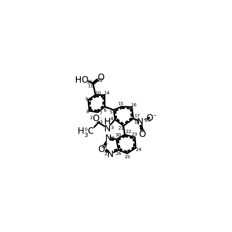 CC(=O)Nc1c(-c2cccc(C(=O)O)c2)ccc([N+](=O)[O-])c1-c1cccc2nonc12